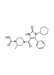 CC1CN(C(=O)c2[nH]c(=O)n(C3CCCCC3)c2-c2ccccc2)CCN1C(=O)O